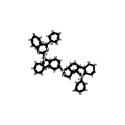 C1=Cc2c(c3ccc4c(cnn4-c4ccc5c(c4)c4ccccc4n5-c4nc(-c5ccccc5)c5ccccc5n4)c3n2-c2ccccc2)CC1